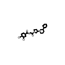 O=C(NCC(=O)N1CCC(N2CCCC(c3ccccc3)C2)C1)c1ccc(Cl)c(Cl)c1